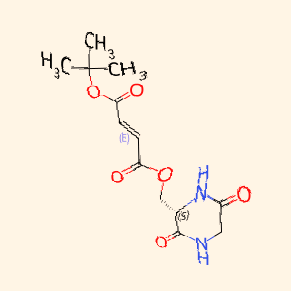 CC(C)(C)OC(=O)/C=C/C(=O)OC[C@@H]1NC(=O)CNC1=O